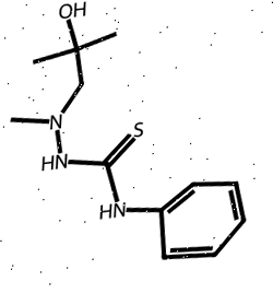 CN(CC(C)(C)O)NC(=S)Nc1ccccc1